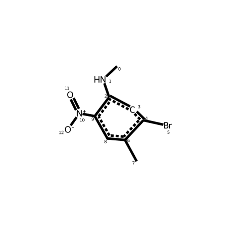 CNc1cc(Br)c(C)cc1[N+](=O)[O-]